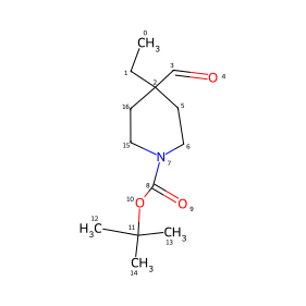 CCC1(C=O)CCN(C(=O)OC(C)(C)C)CC1